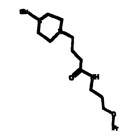 CC(C)OCCCNC(=O)CCCN1CCN(C(C)(C)C)CC1